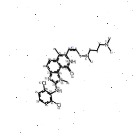 Cc1c(/C=C\CN(C)CCCN(C)C)[nH]c(=O)c2c1ccc1nc(Nc3c(Cl)cccc3Cl)n(C)c12